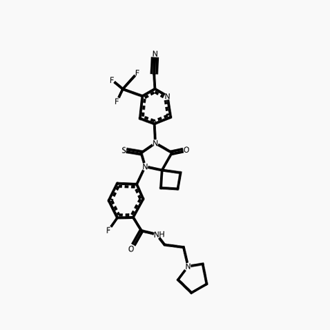 N#Cc1ncc(N2C(=O)C3(CCC3)N(c3ccc(F)c(C(=O)NCCN4CCCC4)c3)C2=S)cc1C(F)(F)F